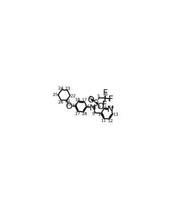 O=S(=O)(CC(F)(F)F)N(Cc1cccnc1)c1ccc(OC2CCCCC2)cc1